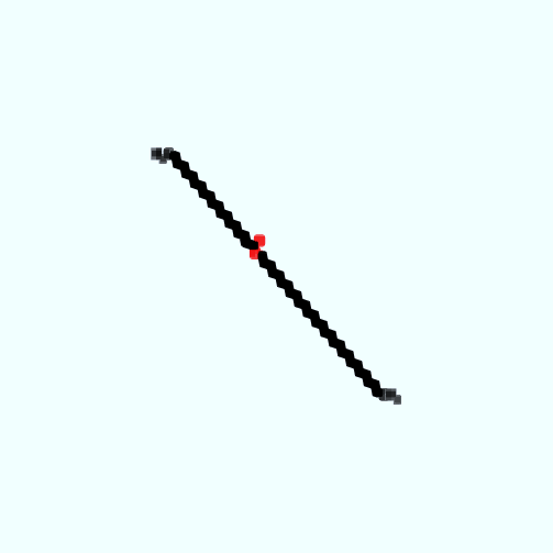 CCCCCCCCCCCCCCCCCC=CC(=O)OCCCCCCCCCCCCCCCCCCCCCCCCCCCCC